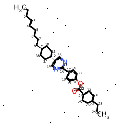 CCCCCCCCC[C@H]1CC[C@H](c2cnc(-c3ccc(OC(=O)C4CCC(CCC)CC4)cc3)nc2)CC1